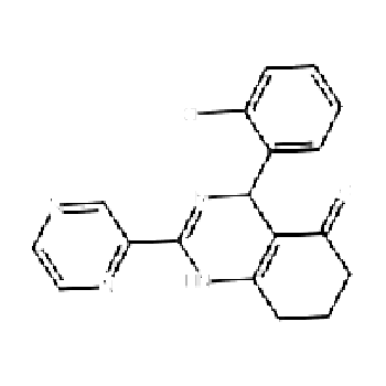 O=C1CCCC2=C1C(c1ccccc1Cl)N=C(c1cnccn1)N2